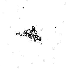 CC1(C)c2cc3ccccc3cc2-c2cc3ccc(N(c4ccccc4)c4ccc5c(c4)C(C)(C)c4ccc6c(c4-5)C(C)(C)c4ccccc4-6)cc3cc21